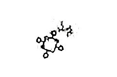 CC(=O)OCC1OC(OC2C(COC(C)=O)OC(Oc3ccc(-c4c5nc(c(-c6ccccc6)c6ccc([nH]6)c(-c6ccccc6)c6nc(c(-c7ccccc7)c7ccc4[nH]7)C=C6)C=C5)cc3)C(OC(C)=O)C2OC(C)=O)C(OC(C)=O)C(OC(C)=O)C1OC(C)=O